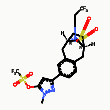 Cn1nc(-c2ccc3c(c2)C[C@H]2CC[C@@H](C3)[C@]23CN(CC(F)(F)F)S(=O)(=O)N3)cc1OS(=O)(=O)C(F)(F)F